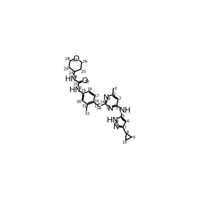 Cc1cc(Nc2cc(C3CC3)n[nH]2)nc(Sc2ccc(NC(=O)NC3CCOCC3)cc2C)n1